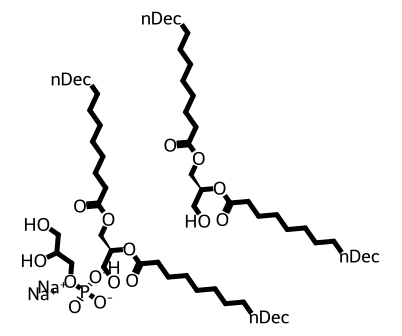 CCCCCCCCCCCCCCCCCC(=O)OC[C@H](CO)OC(=O)CCCCCCCCCCCCCCCCC.CCCCCCCCCCCCCCCCCC(=O)OC[C@H](CO)OC(=O)CCCCCCCCCCCCCCCCC.O=P([O-])([O-])OCC(O)CO.[Na+].[Na+]